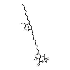 CCCCCCCCN(CC(O)CCCCCCCCCN1CN(C)c2c1n(C)c(=O)[nH]c2=O)C(=O)CC